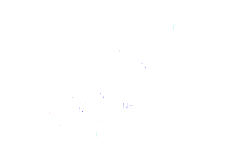 CC1Cc2c(ccc(F)c2F)N1C(=S)Cc1nc(N2CCOCC2)c(F)c(=S)[nH]1